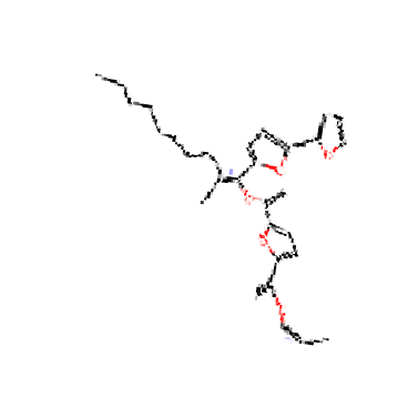 C=C(O/C=C\C)c1ccc(C(=C)O/C(=C(\C)CCCCCCCC)c2ccc(-c3ccco3)o2)o1